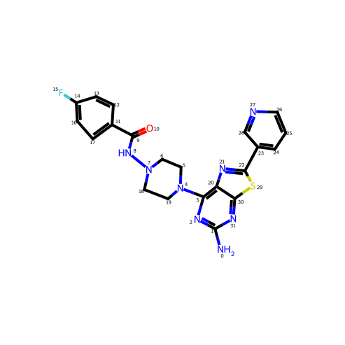 Nc1nc(N2CCN(NC(=O)c3ccc(F)cc3)CC2)c2nc(-c3cccnc3)sc2n1